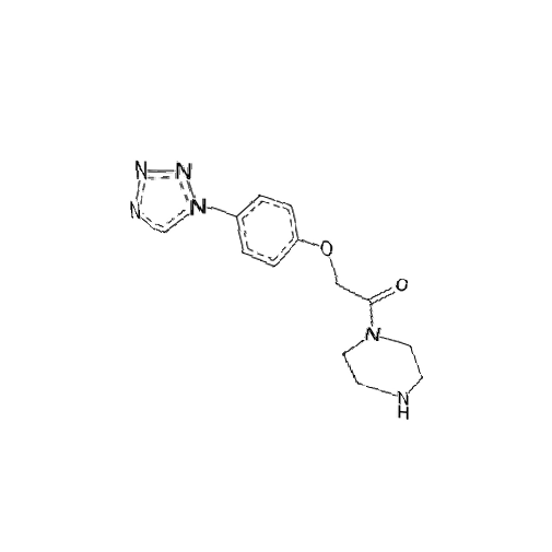 O=C(COc1ccc(-n2cnnn2)cc1)N1CCNCC1